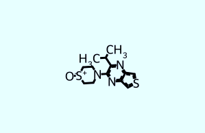 CC(C)c1nc2cscc2nc1N1CC[S+]([O-])CC1